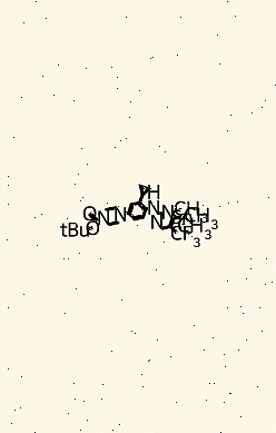 CC(C)(C)OC(=O)N1CCN(c2ccc(Nc3ncc(C(F)(F)F)[c]([Sn]([CH3])([CH3])[CH3])n3)c(C3CC3)c2)CC1